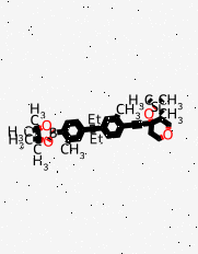 CCC(CC)(c1ccc(C#CC2(O[Si](C)(C)C)CCOCC2)c(C)c1)c1ccc(B2OC(C)(C)C(C)(C)O2)c(C)c1